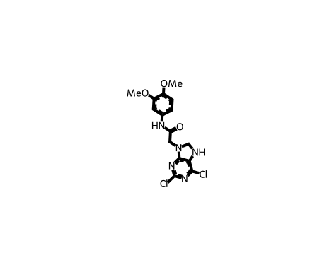 COc1ccc(NC(=O)CN2CNc3c(Cl)nc(Cl)nc32)cc1OC